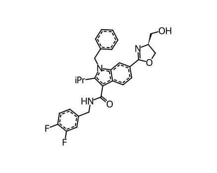 CC(C)c1c(C(=O)NCc2ccc(F)c(F)c2)c2ccc(C3=N[C@@H](CO)CO3)cc2n1Cc1ccccc1